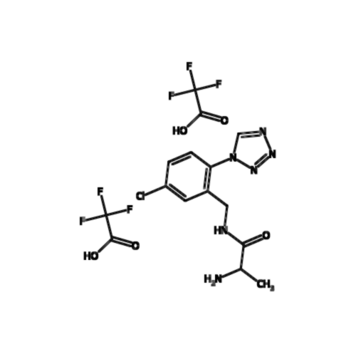 CC(N)C(=O)NCc1cc(Cl)ccc1-n1cnnn1.O=C(O)C(F)(F)F.O=C(O)C(F)(F)F